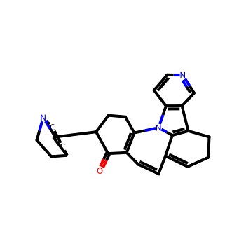 O=C1C2=C(CCC1C1CN3CCC1CC3)n1c3c(c4cnccc41)CCC=C3C=C2